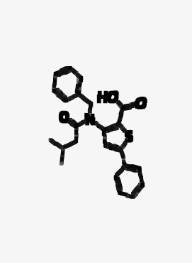 CC(C)CC(=O)N(Cc1ccccc1)c1cc(-c2ccccc2)sc1C(=O)O